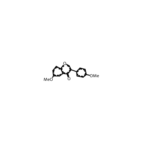 COc1ccc(-c2coc3ccc(OC)cc3c2=O)cc1